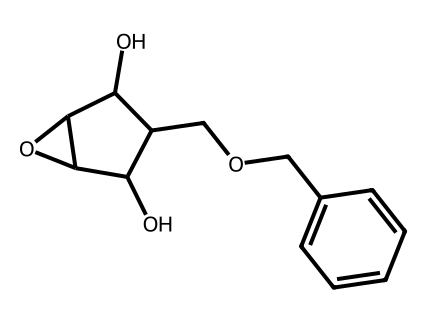 OC1C(COCc2ccccc2)C(O)C2OC12